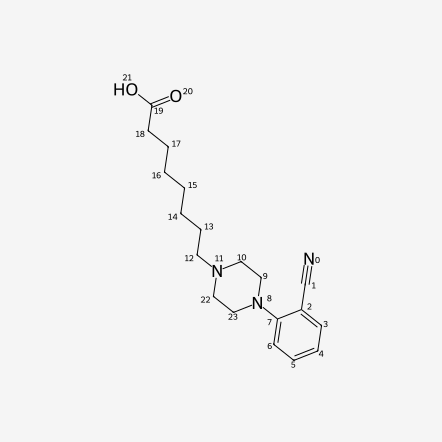 N#Cc1ccccc1N1CCN(CCCCCCCC(=O)O)CC1